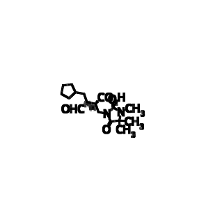 CN1C(=O)N(C[C@H](C(=O)O)[C@H](C=O)CC2CCCC2)C(=O)C1(C)C